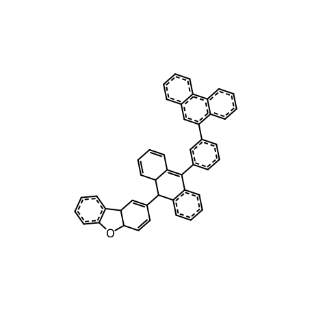 C1=CC2=C(c3cccc(-c4cc5ccccc5c5ccccc45)c3)c3ccccc3C(C3=CC4c5ccccc5OC4C=C3)C2C=C1